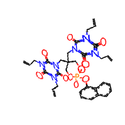 C=CCn1c(=O)n(CC=C)c(=O)n(CC2(Cn3c(=O)n(CC=C)c(=O)n(CC=C)c3=O)COP(=O)(Oc3cccc4ccccc34)OC2)c1=O